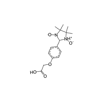 CC1(C)N([O])C(c2ccc(OCC(=O)O)cc2)[NH+]([O-])C1(C)C